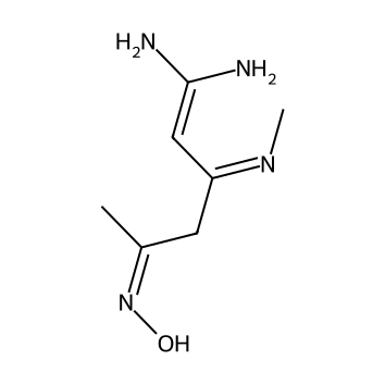 C/N=C(\C=C(N)N)C/C(C)=N\O